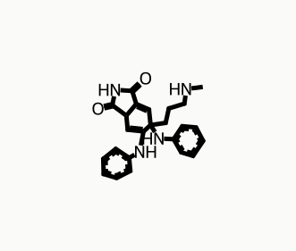 CNCCCC1(Nc2ccccc2)C=C2C(=O)NC(=O)C2C=C1Nc1ccccc1